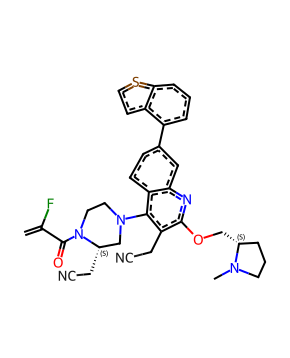 C=C(F)C(=O)N1CCN(c2c(CC#N)c(OC[C@@H]3CCCN3C)nc3cc(-c4cccc5sccc45)ccc23)C[C@@H]1CC#N